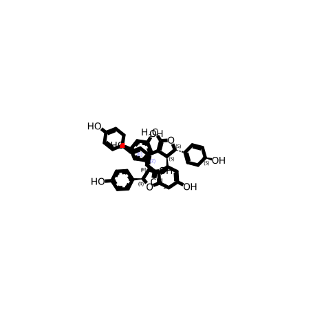 C=C(O)/C=C(/C=C/C1C=CC(O)=CC1)C1=C(C)O[C@H](C2=CC[C@H](O)C=C2)[C@H]1C1=C2C(CC(O)=C1)O[C@@H](c1ccc(O)cc1)[C@@H]2c1cc(O)cc(O)c1